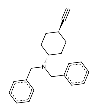 C#C[C@H]1CC[C@H](N(Cc2ccccc2)Cc2ccccc2)CC1